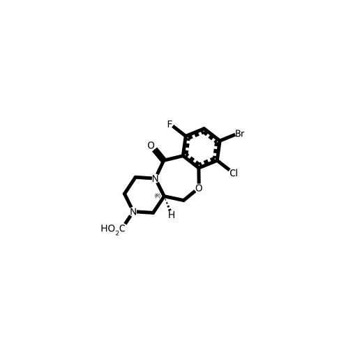 O=C(O)N1CCN2C(=O)c3c(F)cc(Br)c(Cl)c3OC[C@H]2C1